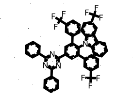 FC(F)(F)c1cccc(-c2cc(-c3nc(-c4ccccc4)nc(-c4ccccc4)n3)cc(-c3cccc(C(F)(F)F)c3)c2-n2c3ccccc3c3cc(C(F)(F)F)ccc32)c1